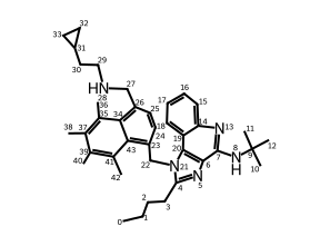 CCCCc1nc2c(NC(C)(C)C)nc3ccccc3c2n1Cc1ccc(CNCCC2CC2)c2c(C)c(C)c(C)c(C)c12